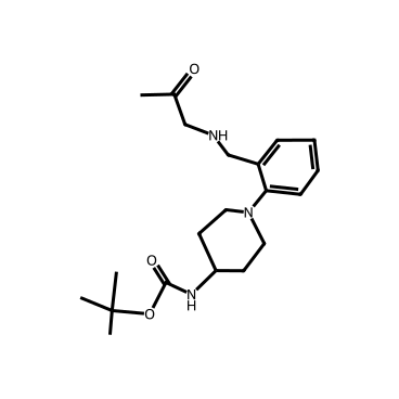 CC(=O)CNCc1ccccc1N1CCC(NC(=O)OC(C)(C)C)CC1